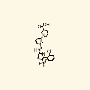 O=C(O)C1CCCN(c2cccc(SNc3ccc(C(F)(F)F)c(-c4ccccc4Cl)n3)n2)C1